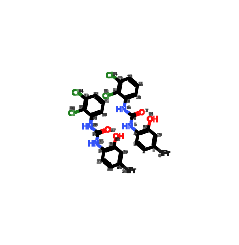 CC(C)c1ccc(NC(=O)Nc2cccc(Cl)c2Cl)c(O)c1.CC(C)c1ccc(NC(=O)Nc2cccc(Cl)c2Cl)c(O)c1